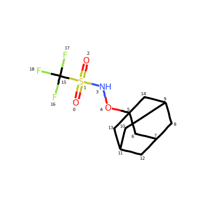 O=S(=O)(NOC12CC3CC(CC(C3)C1)C2)C(F)(F)F